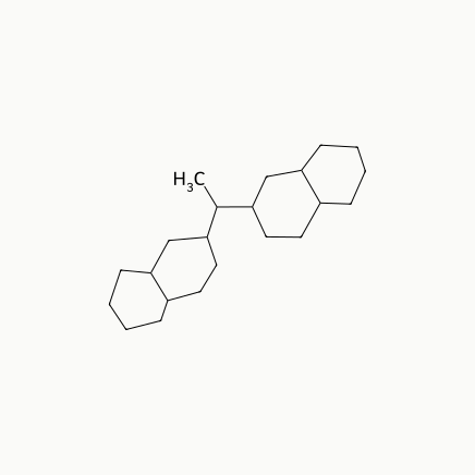 CC(C1CCC2CCCCC2C1)C1CCC2CCCCC2C1